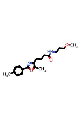 COCCCNC(=O)CCCc1nc(-c2ccc(C)cc2)oc1C